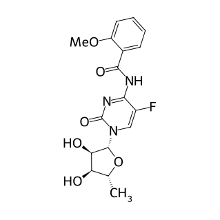 COc1ccccc1C(=O)Nc1nc(=O)n([C@@H]2O[C@H](C)[C@@H](O)[C@H]2O)cc1F